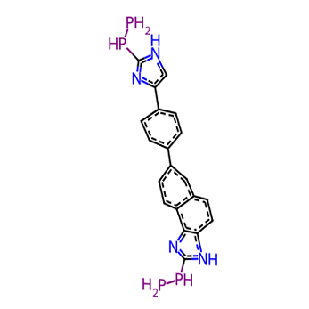 PPc1nc(-c2ccc(-c3ccc4c(ccc5[nH]c(PP)nc54)c3)cc2)c[nH]1